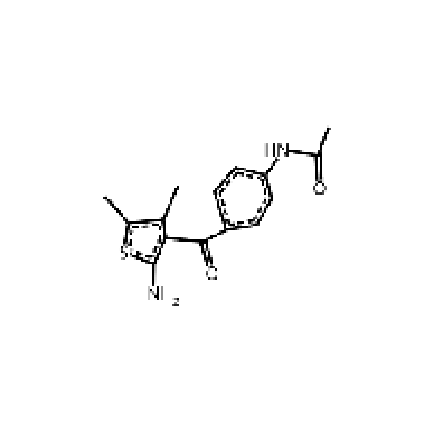 CC(=O)Nc1ccc(C(=O)c2c(N)sc(C)c2C)cc1